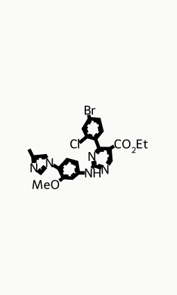 CCOC(=O)c1cnc(Nc2ccc(-n3cnc(C)c3)c(OC)c2)nc1-c1ccc(Br)cc1Cl